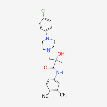 CC(O)(CN1CCN(c2ccc(Cl)cc2)CC1)C(=O)Nc1ccc(C#N)c(C(F)(F)F)c1